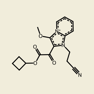 COc1c(C(=O)C(=O)OC2CCC2)n(CCC#N)c2cccc[n+]12